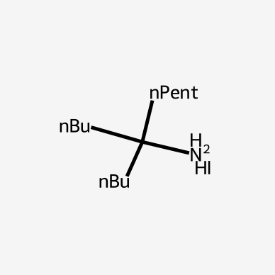 CCCCCC(N)(CCCC)CCCC.I